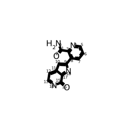 NC(=O)c1ncccc1C1=CC2=CC=NC(=O)C2=N1